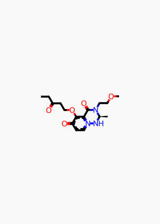 CCC(=O)CCOc1c2n(ccc1=O)N[C@H](C)N(CCOC)C2=O